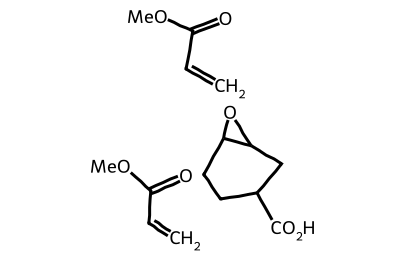 C=CC(=O)OC.C=CC(=O)OC.O=C(O)C1CCC2OC2C1